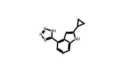 [c]1cc(-c2nnn[nH]2)c2cc(C3CC3)[nH]c2c1